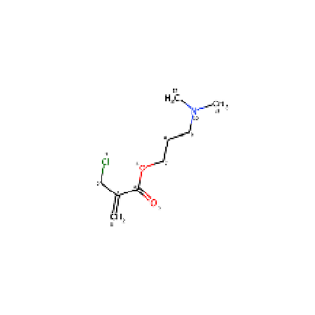 C=C(CCl)C(=O)OCCCN(C)C